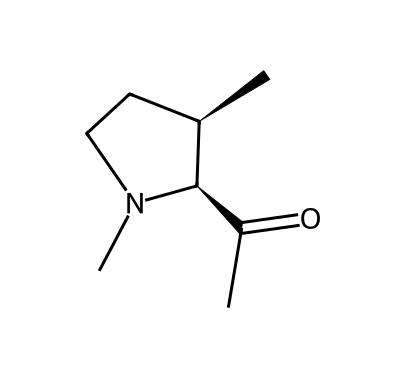 CC(=O)[C@@H]1[C@H](C)CCN1C